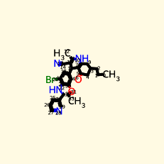 CCCC1CC(=O)C2=C(C1)NC(C)=C(C#N)C2c1cc(Br)c(NCc2cccnc2)c(OCC)c1